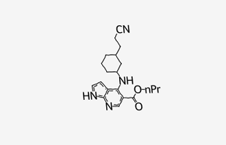 CCCOC(=O)c1cnc2[nH]ccc2c1NC1CCCC(CCC#N)C1